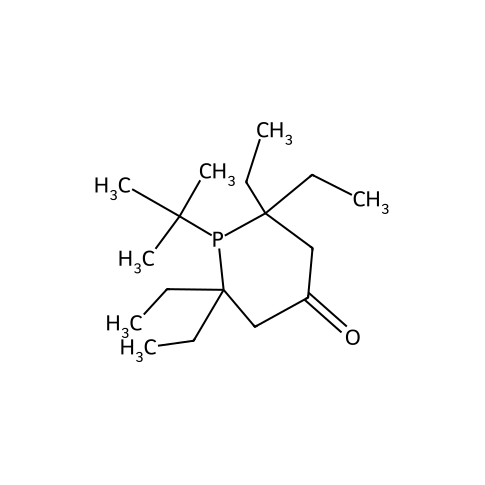 CCC1(CC)CC(=O)CC(CC)(CC)P1C(C)(C)C